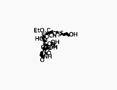 CCOC(=O)C(C#N)(COCSSCCCO)COP(O)(=S)OC[C@H]1O[C@@H](n2ccc(=O)[nH]c2=O)C(F)C1OP(O)(O)=S